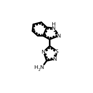 Nc1nsc(-c2n[nH]c3ccccc23)n1